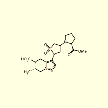 COC(=O)[C@@H]1CCCN1C1CN(c2cnn3c2CN(C(=O)O)[C@@H](C)C3)S(=O)(=O)C1